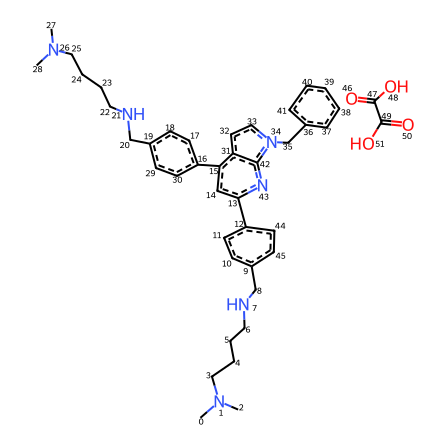 CN(C)CCCCNCc1ccc(-c2cc(-c3ccc(CNCCCCN(C)C)cc3)c3ccn(Cc4ccccc4)c3n2)cc1.O=C(O)C(=O)O